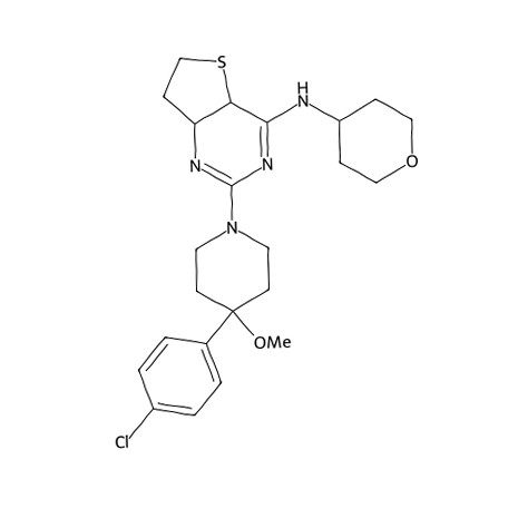 COC1(c2ccc(Cl)cc2)CCN(C2=NC3CCSC3C(NC3CCOCC3)=N2)CC1